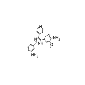 COC1=CC(c2[nH]c(-c3cccc(N)c3)nc2-c2ccncc2)CN=C1N